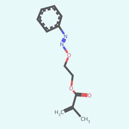 C=C(C)C(=O)OCCON=Nc1ccccc1